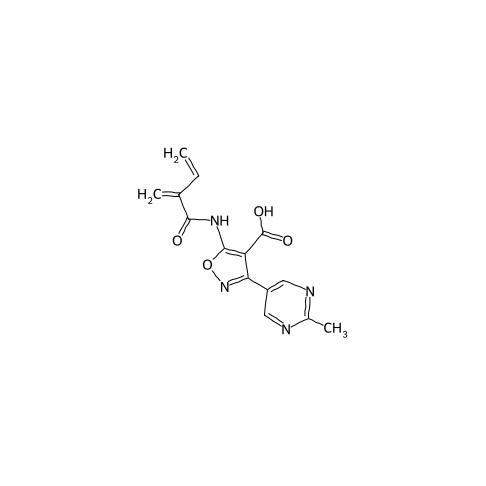 C=CC(=C)C(=O)Nc1onc(-c2cnc(C)nc2)c1C(=O)O